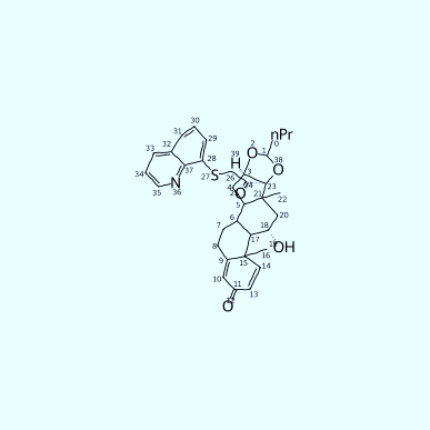 CCCC1O[C@@H]2CC3C4CCC5=CC(=O)C=CC5(C)C4[C@@H](O)CC3(C)[C@]2(C(=O)CSc2cccc3cccnc23)O1